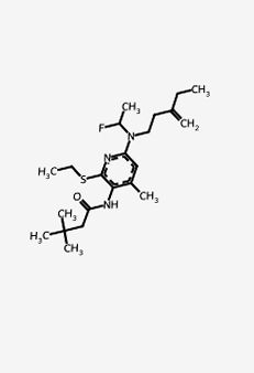 C=C(CC)CCN(c1cc(C)c(NC(=O)CC(C)(C)C)c(SCC)n1)C(C)F